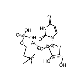 C[N+](C)(C)CCOP(=O)(O)O.O=c1ccn([C@@H]2O[C@H](CO)[C@@H](O)[C@H]2O)c(=O)[nH]1.[CH2-]C(C)=O